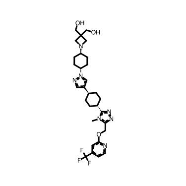 Cn1c(COc2cc(C(F)(F)F)ccn2)nnc1[C@H]1CC[C@H](c2cnn([C@H]3CC[C@H](N4CC(CO)(CO)C4)CC3)c2)CC1